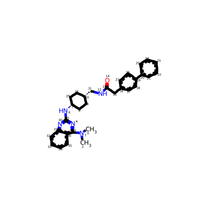 CN(C)c1nc(N[C@H]2CC[C@@H](CNC(=O)Cc3ccc(-c4ccccc4)cc3)CC2)nc2ccccc12